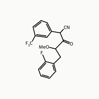 COC(Cc1ccccc1F)C(=O)C(C#N)c1cccc(C(F)(F)F)c1